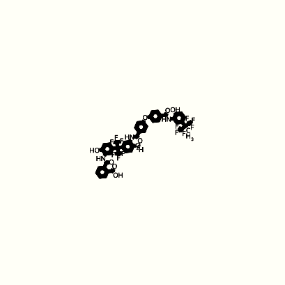 [2H]Oc1ccc(C(c2ccc(O)c(NC(=O)c3ccccc3C(=O)O)c2)(C(F)(F)F)C(F)(F)F)cc1NC(=O)c1ccc(Oc2ccc(C(=O)Nc3cc(C(C)(C(F)(F)F)C(F)(F)F)ccc3O)cc2)cc1